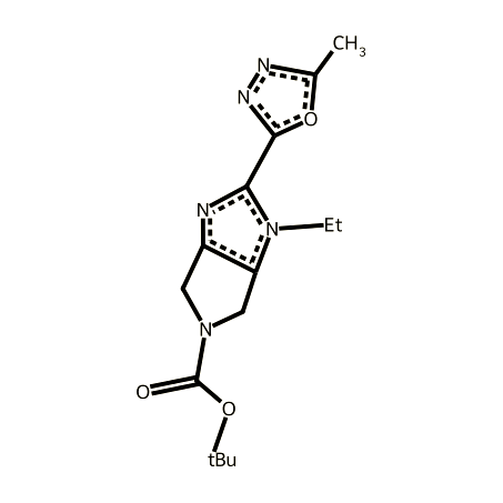 CCn1c(-c2nnc(C)o2)nc2c1CN(C(=O)OC(C)(C)C)C2